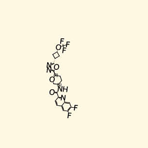 O=C(N[C@H]1CC[C@H](c2nnc([C@H]3C[C@@H](OC(F)(F)F)C3)o2)OC1)c1ccc2cc(F)c(F)cc2n1